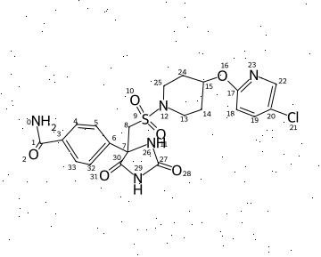 NC(=O)c1ccc(C2(CS(=O)(=O)N3CCC(Oc4ccc(Cl)cn4)CC3)NC(=O)NC2=O)cc1